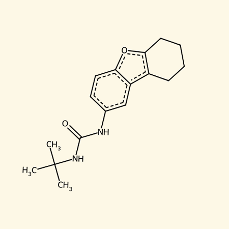 CC(C)(C)NC(=O)Nc1ccc2oc3c(c2c1)CCCC3